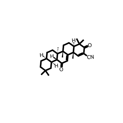 CC1(C)CC[C@H]2CC[C@]3(C)[C@H](C(=O)C=C4[C@@]5(C)C=C(C#N)C(=O)C(C)(C)[C@@H]5CC[C@]43C)[C@H]2C1